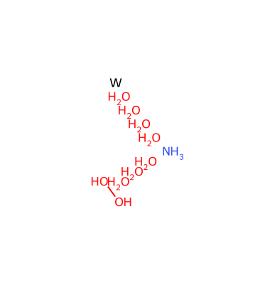 N.O.O.O.O.O.O.O.OO.[W]